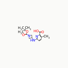 Cc1ccc(NC2CN(C(=O)OC(C)(C)C)C2)nc1C(=O)O